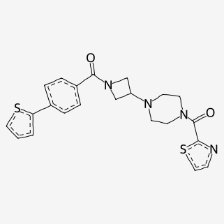 O=C(c1ccc(-c2cccs2)cc1)N1CC(N2CCN(C(=O)c3nccs3)CC2)C1